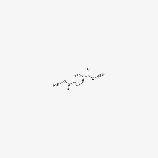 N#COC(=O)c1ccc(C(=O)OC#N)cc1